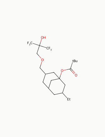 CCC1CC2CC(COCC(O)(C(F)(F)F)C(F)(F)F)CC(OC(=O)C(C)(C)C)(C1)C2